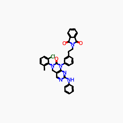 Cc1cccc(Cl)c1N1Cc2cnc(Nc3ccccc3)nc2N(c2cccc(CCN3C(=O)c4ccccc4C3=O)c2)C1=O